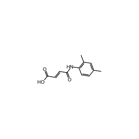 Cc1ccc(NC(=O)C=CC(=O)O)c(C)c1